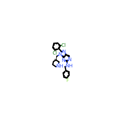 Fc1ccc(CNc2ncc3nc(-c4c(Cl)cccc4Cl)n(C[C@@H]4CCCNC4)c3n2)cc1